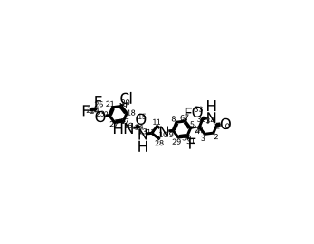 O=C1CC[C@@H](c2c(F)cc(N3CC(NC(=O)Nc4cc(Cl)cc(OC(F)F)c4)C3)cc2F)C(=O)N1